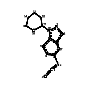 O=C=Nc1ccc2c(cnn2C2CCCCO2)c1